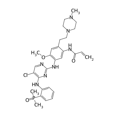 C=CC(=O)Nc1cc(Nc2ncc(Cl)c(Nc3ccccc3P(C)(C)=O)n2)c(OC)cc1CCN1CCN(C)CC1